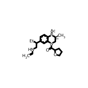 C=CNCC(CC)c1ccc2c(c1)N(C(=O)C1CCCO1)C[C@H](C)N2C(C)=O